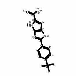 CC(C)(C)c1ccc(-c2nc3[nH]c(C(=O)O)cc3s2)cc1